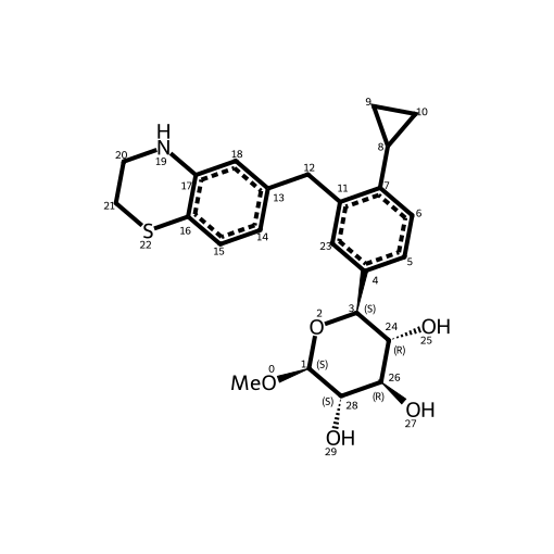 CO[C@H]1O[C@@H](c2ccc(C3CC3)c(Cc3ccc4c(c3)NCCS4)c2)[C@H](O)[C@@H](O)[C@@H]1O